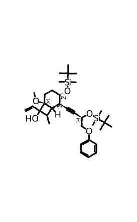 C=CC1(O)C(C)[C@H]2[C@H](C#C[C@H](COc3ccccc3)O[Si](C)(C)C(C)(C)C)[C@@H](O[Si](C)(C)C(C)(C)C)CC[C@]21OC